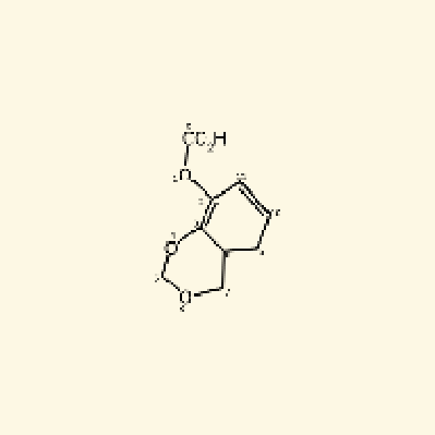 O=C(O)OC1=C2OCOCC2CC=C1